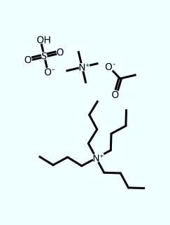 CC(=O)[O-].CCCC[N+](CCCC)(CCCC)CCCC.C[N+](C)(C)C.O=S(=O)([O-])O